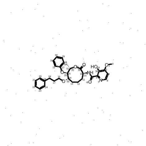 COc1ccnc(C(=O)N[C@H]2CCC[C@H](OCCCc3ccccc3)[C@@H](Oc3ccccc3)[C@H](C)OC2=O)c1O